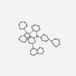 c1ccc(-c2ccc(N(c3cccc(-c4cccc5ccccc45)c3)c3ccccc3-c3oc4ccccc4c3-c3ccccc3)cc2)cc1